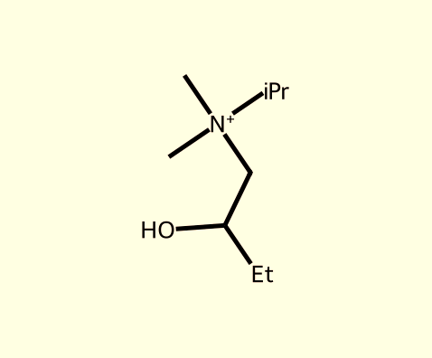 CCC(O)C[N+](C)(C)C(C)C